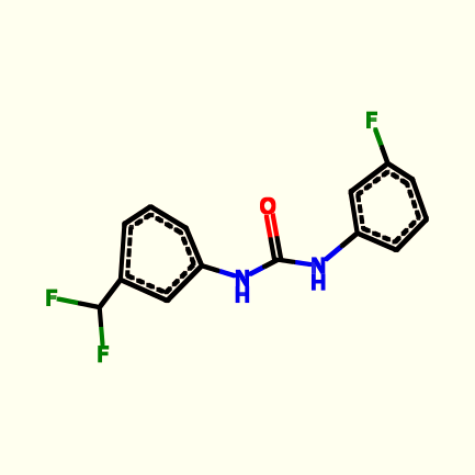 O=C(Nc1cccc(F)c1)Nc1cccc(C(F)F)c1